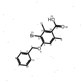 Cc1cc(OCc2ccccc2)c(Br)c(C)c1C(=O)O